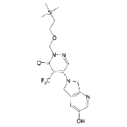 C[Si](C)(C)CCOCn1ncc(N2Cc3cc(O)cnc3C2)c(C(F)(F)F)c1=O